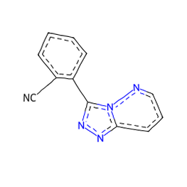 N#Cc1ccccc1-c1nnc2cccnn12